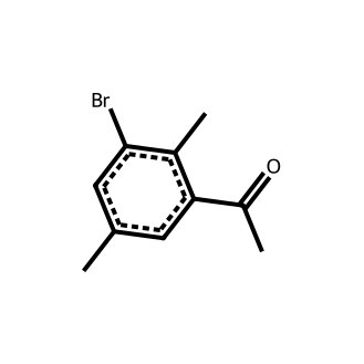 CC(=O)c1cc(C)cc(Br)c1C